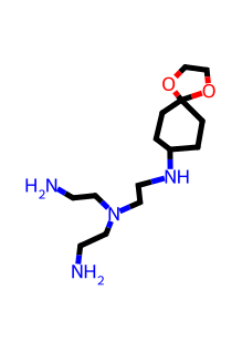 NCCN(CCN)CCNC1CCC2(CC1)OCCO2